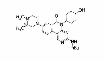 CCCCNc1ncc2c3ccc(N4CCN(C)[C@H](C)C4)cc3c(=O)n(C3CCC(O)CC3)c2n1